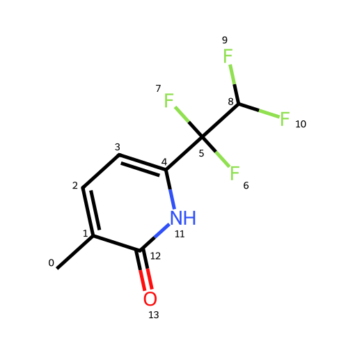 Cc1ccc(C(F)(F)C(F)F)[nH]c1=O